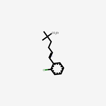 CCOC(=O)C(C)(C)CC/C=C/c1ccccc1Cl